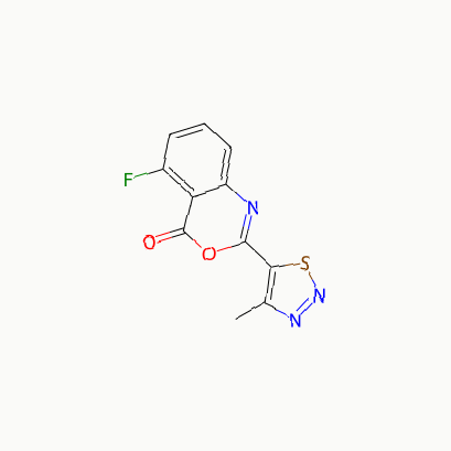 Cc1nnsc1-c1nc2cccc(F)c2c(=O)o1